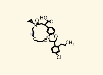 CCCc1cc(Cl)ccc1C1COc2ccc3cc2N(CCCC/C=C/CN(C2CC2)C(=O)CC3C(=O)O)C1